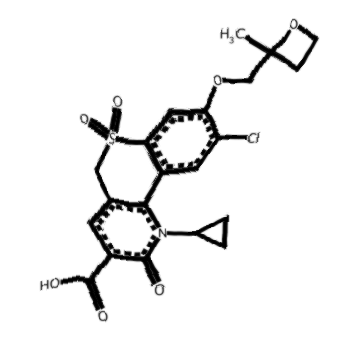 CC1(COc2cc3c(cc2Cl)-c2c(cc(C(=O)O)c(=O)n2C2CC2)CS3(=O)=O)CCO1